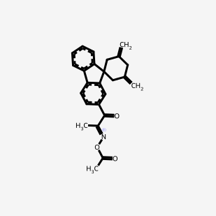 C=C1CC(=C)CC2(C1)c1ccccc1-c1ccc(C(=O)/C(C)=N/OC(C)=O)cc12